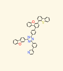 c1cncc(-c2cccc(-c3nc(-c4ccc(-c5ccc(-c6cccc7c6sc6ccccc67)c6oc7ccccc7c56)cc4)nc(-c4ccc5c(c4)oc4ccccc45)n3)c2)c1